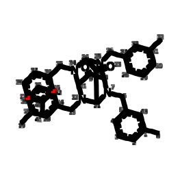 Cc1cccc(CN2C3C(=O)C4N(Cc5cccc(C)c5)C2C(=O)C(N3Cc2cccc(C)c2)N4Cc2cccc(C)c2)c1